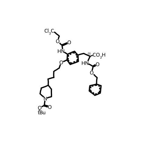 CC(C)(C)OC(=O)N1CCC(CCCCOc2ccc(C[C@H](NC(=O)OCc3ccccc3)C(=O)O)cc2NC(=O)OCC(Cl)(Cl)Cl)CC1